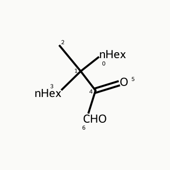 CCCCCCC(C)(CCCCCC)C(=O)C=O